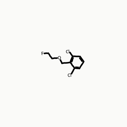 FCCOCc1c(Cl)cccc1Cl